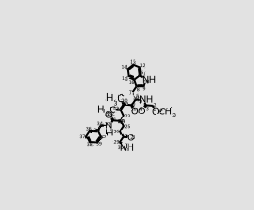 COCC(=O)N[C@@H](Cc1c[nH]c2ccccc12)C(=O)C(C)C(C)C[C@@H](CCC(=O)C=N)C(=O)NCc1ccccc1